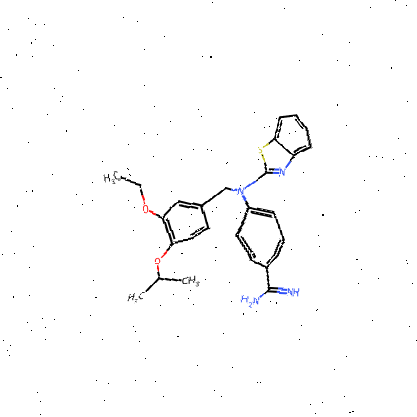 CCOc1cc(CN(c2ccc(C(=N)N)cc2)c2nc3ccccc3s2)ccc1OC(C)C